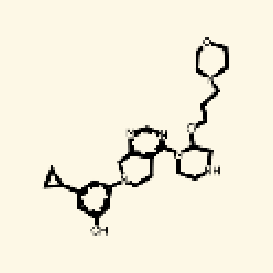 Oc1cc(C2CC2)cc(N2CCc3c(ncnc3N3CCNCC3OCCCN3CCOCC3)C2)c1